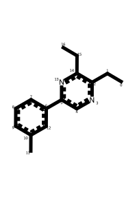 CCc1ncc(-c2cccc(C)c2)nc1CC